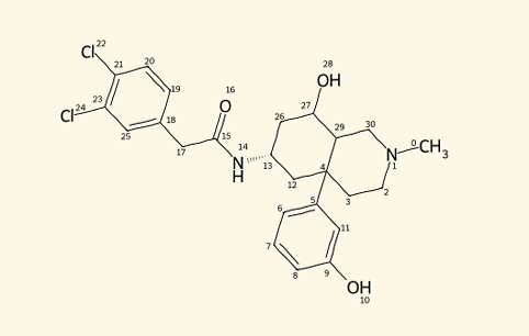 CN1CCC2(c3cccc(O)c3)C[C@H](NC(=O)Cc3ccc(Cl)c(Cl)c3)CC(O)C2C1